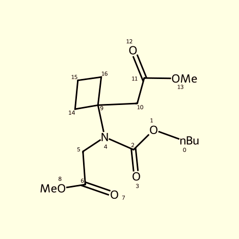 CCCCOC(=O)N(CC(=O)OC)C1(CC(=O)OC)CCC1